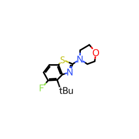 CC(C)(C)c1c(F)ccc2sc(N3CCOCC3)nc12